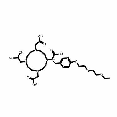 CCOCCOCCOc1ccc(C[C@@H](C(=O)O)N2CCN(CC(=O)O)CCN(CC(O)O)CCN(CC(=O)O)CC2)cn1